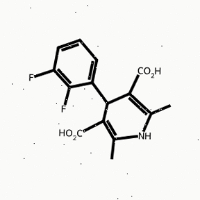 CC1=C(C(=O)O)C(c2cccc(F)c2F)C(C(=O)O)=C(C)N1